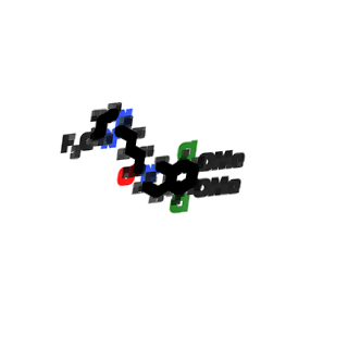 COc1c(Cl)c2c(c(Cl)c1OC)CN(C(=O)CCCc1nccc(C(F)(F)F)n1)CC2